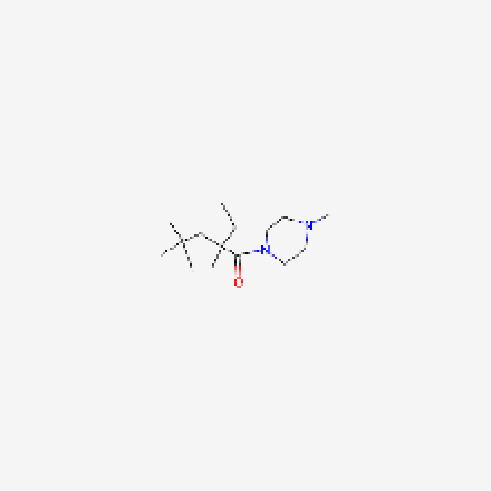 CCC(C)(CC(C)(C)C)C(=O)N1CCN(C)CC1